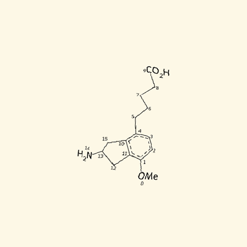 COc1ccc(CCCCC(=O)O)c2c1CC(N)C2